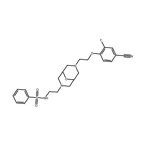 N#Cc1ccc(OCCN2CC3CN(CCNS(=O)(=O)c4ccccc4)CC(C2)O3)c(F)c1